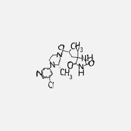 CC(CC1(C2CC2)NC(=O)NC1=O)C(=O)N1CCN(c2cncc(Cl)c2)[C@@H](C)C1